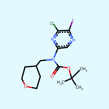 CC(C)(C)OC(=O)N(CC1CCOCC1)c1cnc(I)c(Cl)n1